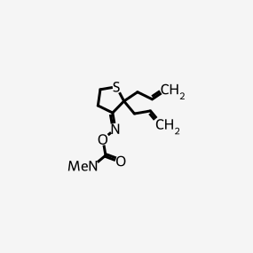 C=CCC1(CC=C)SCCC1=NOC(=O)NC